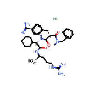 CN(Cc1ccccc1)C(=O)[C@@H](Cc1ccc(C(=N)N)cc1)C(=O)N[C@H](C(=O)NC(CCCNC(=N)N)C(=O)O)C1CCCCC1.Cl